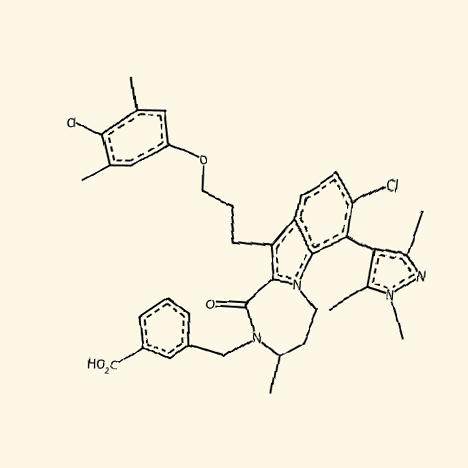 Cc1cc(OCCCc2c3n(c4c(-c5c(C)nn(C)c5C)c(Cl)ccc24)CCC(C)N(Cc2cccc(C(=O)O)c2)C3=O)cc(C)c1Cl